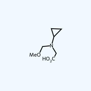 COCN(CC(=O)O)C1CC1